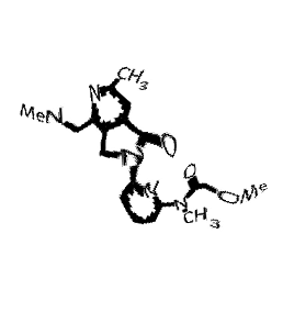 CNCc1nc(C)cc2c1CN(c1cccc(N(C)C(=O)OC)n1)C2=O